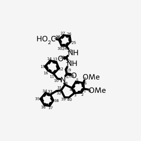 COc1cc2c(cc1OC)C(N(Cc1ccccc1)C(=O)CNC(=O)Nc1cccc(C(=O)O)c1)C(Cc1ccccc1)CC2